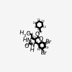 CCC1=C(C(=O)OCC2CCCCC2)C(c2cc(Br)cc(Br)c2)NC(=O)N1